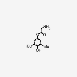 CCC(C)c1cc(OC(=O)CN)cc(C(C)CC)c1O